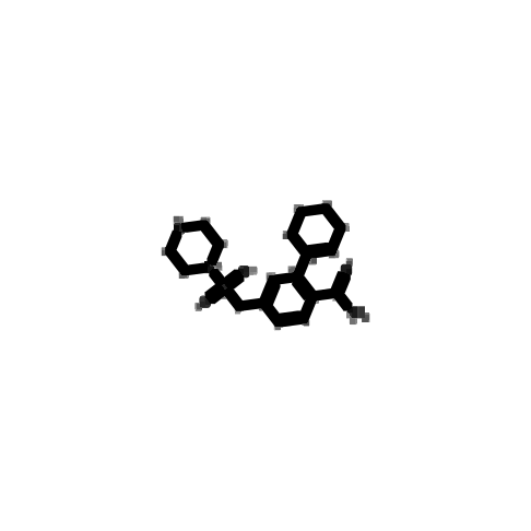 NC(=O)c1ccc(CS(=O)(=O)N2CCOCC2)cc1C1=CCCCC1